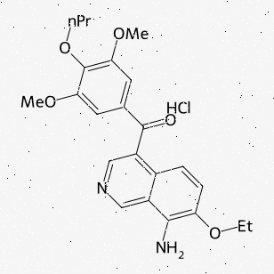 CCCOc1c(OC)cc(C(=O)c2cncc3c(N)c(OCC)ccc23)cc1OC.Cl